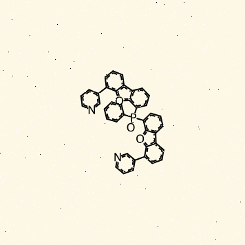 O=P(c1ccccc1)(c1cccc2c1oc1c(-c3cccnc3)cccc12)c1cccc2c1oc1c(-c3cccnc3)cccc12